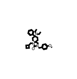 CCN(CC)[C@]1(c2ccccc2)CC[C@@]2(CC1)CN(Cc1ccc(OC)cc1)C(=O)N2CC1CCC1